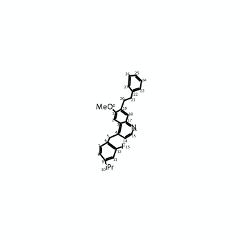 COc1cc2c(Cc3ccc(C(C)C)cc3F)ccnc2cc1CCc1ccccc1